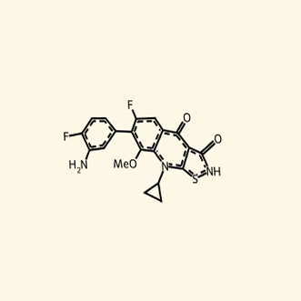 COc1c(-c2ccc(F)c(N)c2)c(F)cc2c(=O)c3c(=O)[nH]sc3n(C3CC3)c12